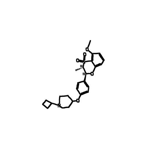 COc1cccc2c1S(=O)(=O)[C@@H](C)[C@H](c1ccc(OC3CCN(C4CCC4)CC3)cc1)O2